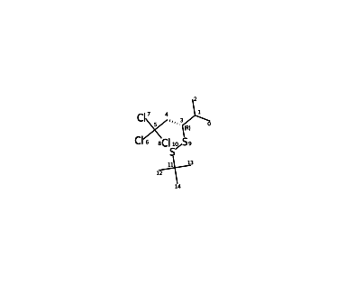 CC(C)[C@@H](CC(Cl)(Cl)Cl)SSC(C)(C)C